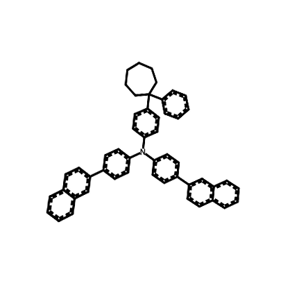 c1ccc(C2(c3ccc(N(c4ccc(-c5ccc6ccccc6c5)cc4)c4ccc(-c5ccc6ccccc6c5)cc4)cc3)CCCCCC2)cc1